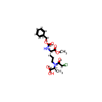 COC(=O)[C@H](CCCN(C(=O)CCl)[C@@H](C)C(=O)O)NC(=O)OCc1ccccc1